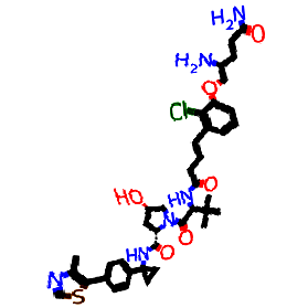 Cc1ncsc1-c1ccc(C2(NC(=O)[C@@H]3C[C@@H](O)CN3C(=O)C(NC(=O)CCCc3cccc(OCC(N)CCC(N)=O)c3Cl)C(C)(C)C)CC2)cc1